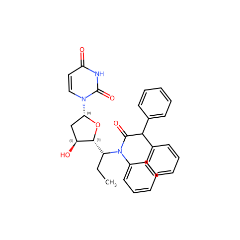 CCC([C@H]1O[C@@H](n2ccc(=O)[nH]c2=O)C[C@@H]1O)N(C(=O)C(c1ccccc1)c1ccccc1)c1ccccc1